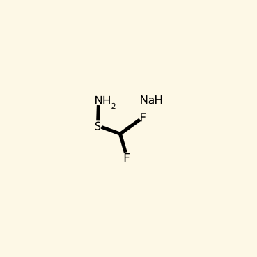 NSC(F)F.[NaH]